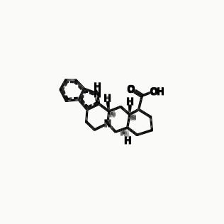 O=C(O)C1CCC[C@H]2CN3CCc4c([nH]c5ccccc45)[C@@H]3C[C@H]12